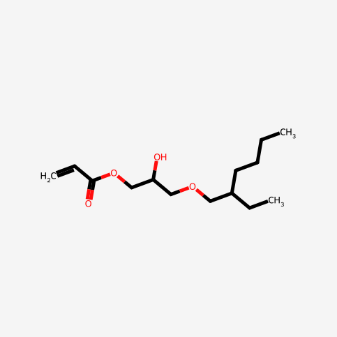 C=CC(=O)OCC(O)COCC(CC)CCCC